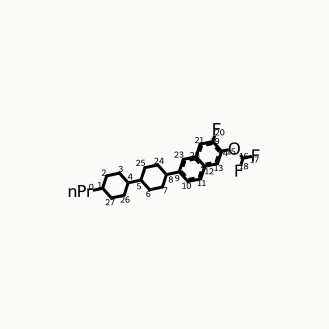 CCCC1CCC(C2CCC(c3ccc4cc(OC(F)F)c(F)cc4c3)CC2)CC1